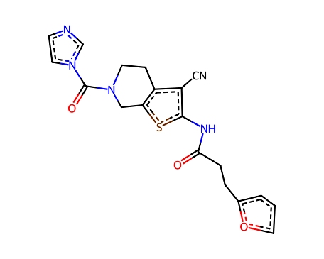 N#Cc1c(NC(=O)CCc2ccco2)sc2c1CCN(C(=O)n1ccnc1)C2